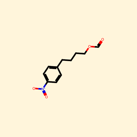 O=[C]OCCCCc1ccc([N+](=O)[O-])cc1